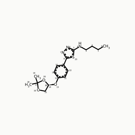 CCCCNc1nnc(-c2ccc(O[C@H]3COC(C)(C)O3)cc2)s1